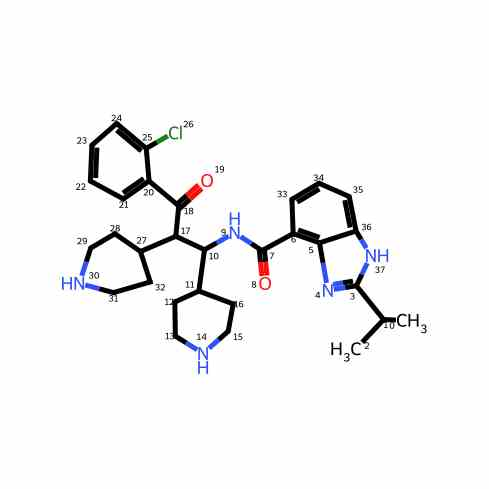 CC(C)c1nc2c(C(=O)NC(C3CCNCC3)C(C(=O)c3ccccc3Cl)C3CCNCC3)cccc2[nH]1